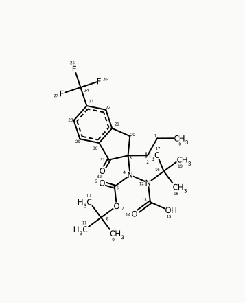 CCCC1(N(C(=O)OC(C)(C)C)N(C(=O)O)C(C)(C)C)Cc2cc(C(F)(F)F)ccc2C1=O